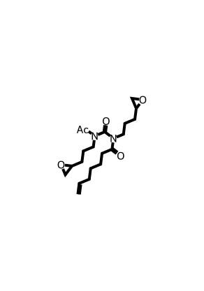 C=CCCCCC(=O)N(CCCC1CO1)C(=O)N(CCCC1CO1)C(C)=O